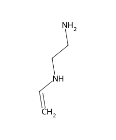 C=CNCCN